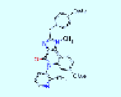 COc1ccc(Cc2nc3c(=O)n(-c4cccnc4C)c4cc(OC)ccc4c3n2C)cc1